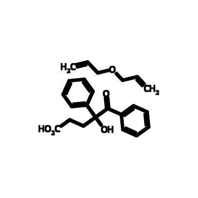 C=CCOCC=C.O=C(O)CCC(O)(C(=O)c1ccccc1)c1ccccc1